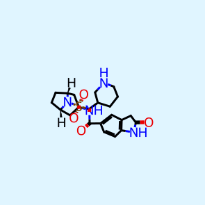 O=C1Cc2cc(C(=O)NC3C[C@H]4CC[C@@H](C3)N4S(=O)(=O)CC3CCCNC3)ccc2N1